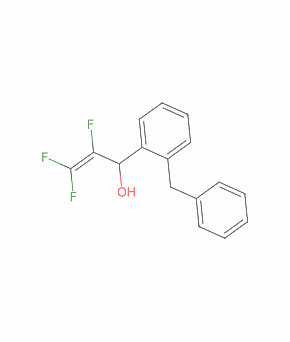 OC(C(F)=C(F)F)c1ccccc1Cc1ccccc1